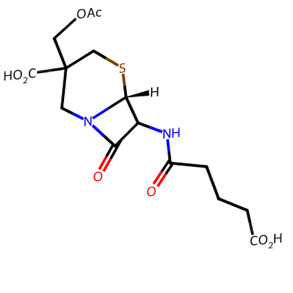 CC(=O)OCC1(C(=O)O)CS[C@@H]2C(NC(=O)CCCC(=O)O)C(=O)N2C1